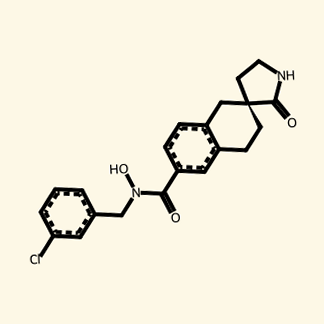 O=C(c1ccc2c(c1)CC[C@]1(CCNC1=O)C2)N(O)Cc1cccc(Cl)c1